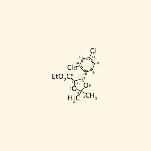 CCOC(=O)[C@@H]1OC(C)(C)O[C@H]1c1ccc(Cl)cc1Cl